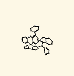 c1ccc(-c2cccc3c2Oc2ccccc2C32c3ccccc3-c3ccc(N(c4ccccc4)c4cccc5ccccc45)cc32)cc1